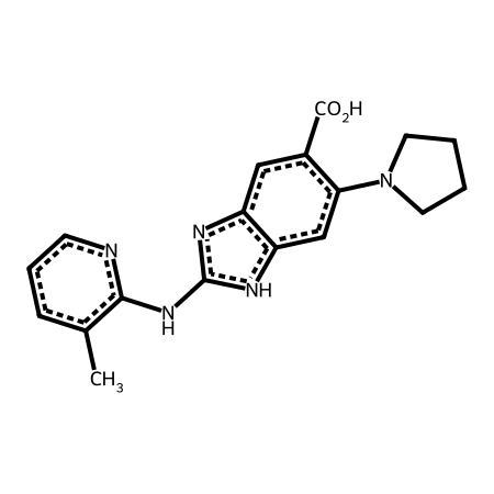 Cc1cccnc1Nc1nc2cc(C(=O)O)c(N3CCCC3)cc2[nH]1